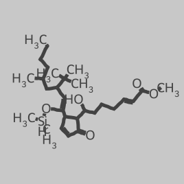 CCCCC(C)CC(C=C(O[SiH](C)C)C1C=CC(=O)C1C(O)CCCC=CC(=O)OC)C(C)(C)C